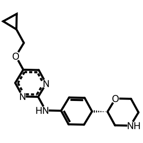 C1=CC([C@H]2CNCCO2)CC=C1Nc1ncc(OCC2CC2)cn1